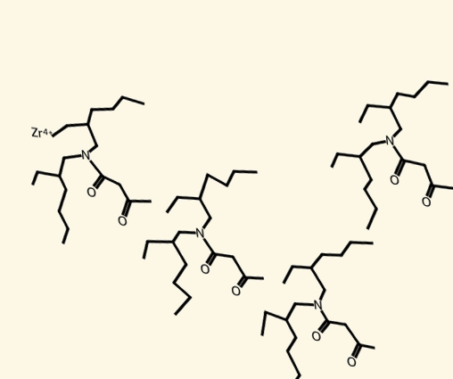 CCCCC(CC)CN(CC(CC)CCCC)C(=O)CC(C)=O.CCCCC(CC)CN(CC(CC)CCCC)C(=O)CC(C)=O.CCCCC(CC)CN(CC(CC)CCCC)C(=O)CC(C)=O.CCCCC(CC)CN(CC(CC)CCCC)C(=O)CC(C)=O.[Zr+4]